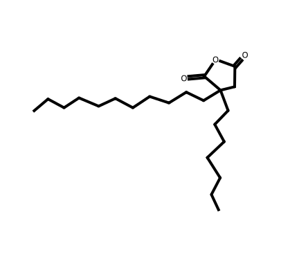 CCCCCCCCCCCC1(CCCCCCC)CC(=O)OC1=O